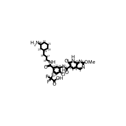 COc1ncc2cc(C(=O)Nc3cc(C(=O)NCCCC4CCCC(N)C4)ccc3Cl)c(=O)[nH]c2n1.O=C(O)C(F)(F)F